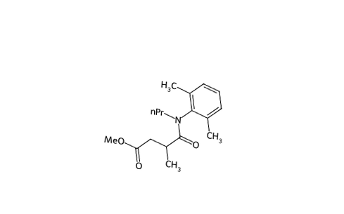 CCCN(C(=O)C(C)CC(=O)OC)c1c(C)cccc1C